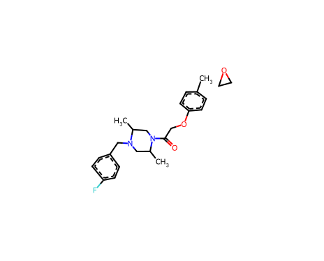 C1CO1.Cc1ccc(OCC(=O)N2CC(C)N(Cc3ccc(F)cc3)CC2C)cc1